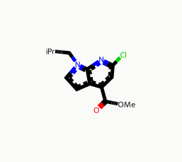 COC(=O)c1cc(Cl)nc2c1ccn2CC(C)C